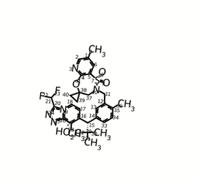 Cc1cnc2c(c1)S(=O)(=O)N(Cc1cc([C@@H](c3ccn4c(C(F)F)nnc4c3C)C(C)(C)C(=O)O)ccc1C)CC1(CC1)O2